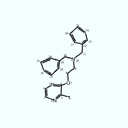 Cc1nccnc1OCCN(Cc1ccccc1)Cc1ccccc1